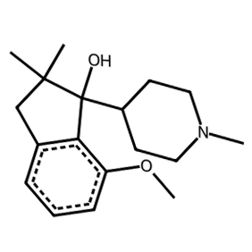 COc1cccc2c1C(O)(C1CCN(C)CC1)C(C)(C)C2